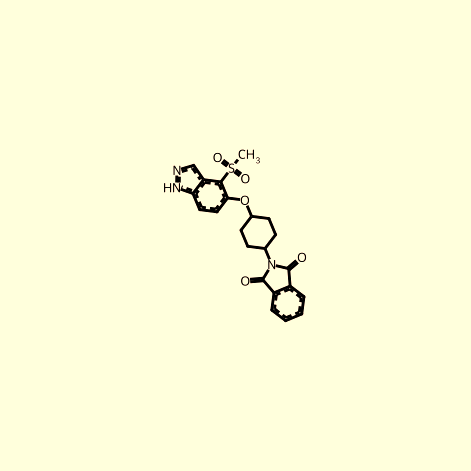 CS(=O)(=O)c1c(OC2CCC(N3C(=O)c4ccccc4C3=O)CC2)ccc2[nH]ncc12